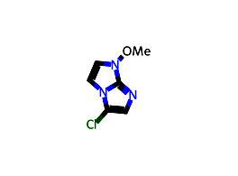 COn1ccn2c(Cl)cnc12